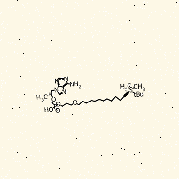 C[C@H](Cn1cnc2c(N)ncnc21)OCP(=O)(O)OCCCOCCCCCCCCCCCC#CS(C)(C)C(C)(C)C